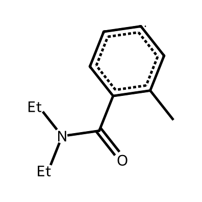 CCN(CC)C(=O)c1cc[c]cc1C